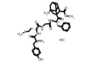 COC(=O)C1C2CC3CC(N)(C2)CC1(C(=O)[C@H](Cc1ccccc1)NC(=O)CNC(=O)[C@@H](CCSC)NC(=O)[C@@H](N)Cc1ccc(O)cc1)C3.Cl